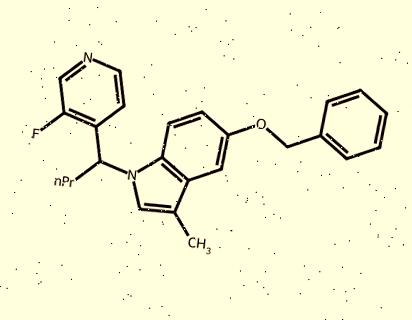 CCCC(c1ccncc1F)n1cc(C)c2cc(OCc3ccccc3)ccc21